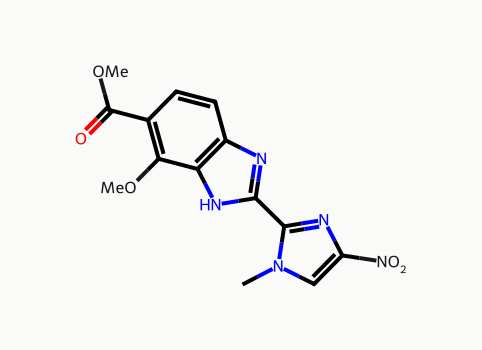 COC(=O)c1ccc2nc(-c3nc([N+](=O)[O-])cn3C)[nH]c2c1OC